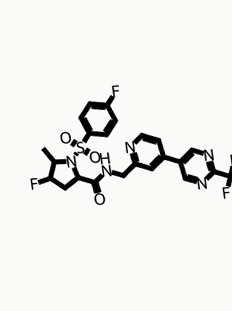 CC1C(F)CC(C(=O)NCc2cc(-c3cnc(C(F)(F)F)nc3)ccn2)N1S(=O)(=O)c1ccc(F)cc1